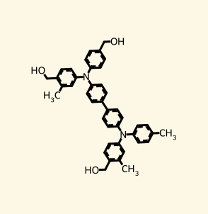 Cc1ccc(N(c2ccc(-c3ccc(N(c4ccc(CO)cc4)c4ccc(CO)c(C)c4)cc3)cc2)c2ccc(CO)c(C)c2)cc1